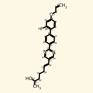 C=CCOc1ccc(-c2ccc(-c3ncc(C=CCCCC(C)O)cn3)cc2)c(F)c1